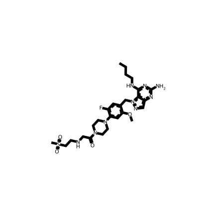 CCCCNc1nc(N)nc2cnn(Cc3cc(F)c(N4CCN(C(=O)CNCCS(C)(=O)=O)CC4)cc3OC)c12